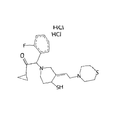 Cl.Cl.O=C(C1CC1)C(c1ccccc1F)N1CCC(S)/C(=C\CN2CCSCC2)C1